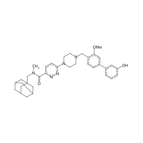 COc1cc(-c2cccc(O)c2)ccc1CN1CCN(c2ccc(C(=O)N(C)CC34CC5CC(CC(C5)C3)C4)nn2)CC1